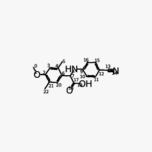 COc1cc(C)c(C(Nc2ccc(C#N)cc2)C(=O)O)cc1C